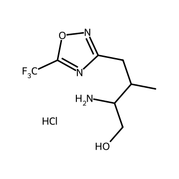 CC(Cc1noc(C(F)(F)F)n1)C(N)CO.Cl